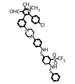 Cc1c(C=O)c(-c2cccc(N3CCN(c4ccc(NSC5=CCC(NSc6ccccc6)C(S(=O)(=O)C(F)(F)F)=C5)cc4)CC3)c2)c(-c2ccc(Cl)cc2)n1C